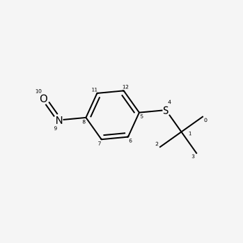 CC(C)(C)Sc1ccc(N=O)cc1